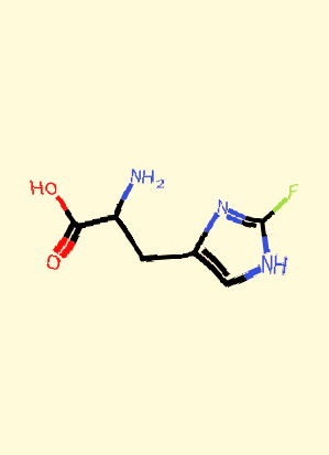 NC(Cc1c[nH]c(F)n1)C(=O)O